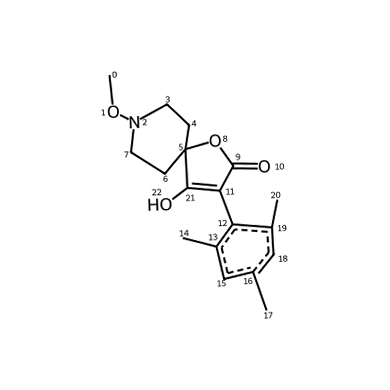 CON1CCC2(CC1)OC(=O)C(c1c(C)cc(C)cc1C)=C2O